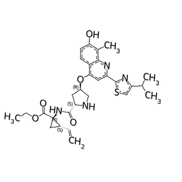 C=C[C@@H]1C[C@]1(NC(=O)[C@@H]1C[C@@H](Oc2cc(-c3nc(C(C)C)cs3)nc3c(C)c(O)ccc23)CN1)C(=O)OCC